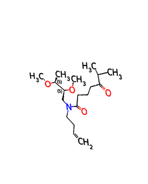 C=CCCN(C[C@H](OC)[C@H](C)OC)C(=O)CCCC(=O)C(C)C